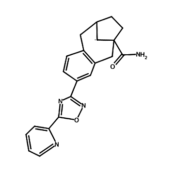 NC(=O)C12[CH]C(CC1)Cc1ccc(-c3noc(-c4ccccn4)n3)cc1C2